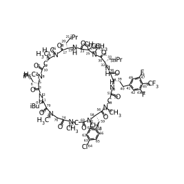 CC[C@H](C)[C@@H]1NC(=O)[C@H](CC(C)C)N(C)C(=O)C[C@@H](C)N(C)C(=O)[C@H](CC(C)C)NC(=O)C(C)(C)N(C)C(=O)[C@H](CC(C)C)NC(=O)[C@H](CCc2cc(F)c(C(F)(F)F)c(F)c2)NC(=O)CN(C)C(=O)[C@H](Cc2ccc(Cl)cc2)N(C)C(=O)CN(C)C(=O)CN(C)C1=O